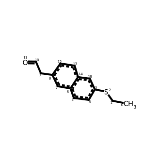 CCSc1ccc2cc(CC=O)ccc2c1